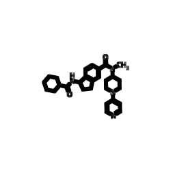 CN(C(=O)c1ccc2c(c1)CCC2NC(=O)C1CCCCC1)C1CCN(c2ccncc2)CC1